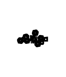 Clc1cccc2c1oc1cccc(-c3nc(-c4ccccc4)nc(-c4ccc5c6c(cccc46)-c4ccccc4-5)n3)c12